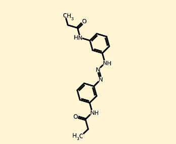 CCC(=O)Nc1cccc(/N=N/Nc2cccc(NC(=O)CC)c2)c1